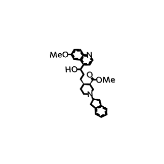 COC(=O)[C@H]1CN(C2Cc3ccccc3C2)CC[C@H]1CCC(O)c1ccnc2ccc(OC)cc12